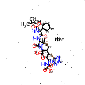 CC(C)(C)OC(=O)NC(C(=O)NC1C(=O)N2C(C(=O)[O-])=C(C(CCNS(=O)(=O)[O-])Sc3nnn[nH]3)CS[C@@H]12)c1ccccc1.[Na+].[Na+]